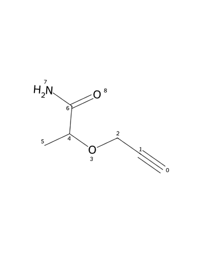 C#CCOC(C)C(N)=O